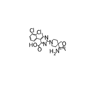 Cc1nc(N2CCC3(CC2)CO[C@@H](C)[C@H]3N)nc(C(=O)O)c1-c1cccc(Cl)c1Cl